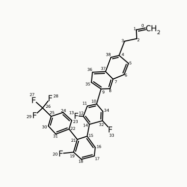 C=CCCc1ccc2cc(-c3cc(F)c(-c4cccc(F)c4-c4ccc(C(F)(F)F)cc4)c(F)c3)ccc2c1